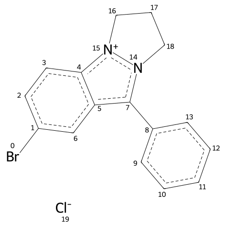 Brc1ccc2c(c1)c(-c1ccccc1)n1[n+]2CCC1.[Cl-]